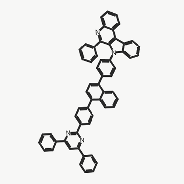 c1ccc(-c2cc(-c3ccccc3)nc(-c3ccc(-c4ccc(-c5ccc(-n6c7ccccc7c7c8ccccc8nc(-c8ccccc8)c76)cc5)c5ccccc45)cc3)n2)cc1